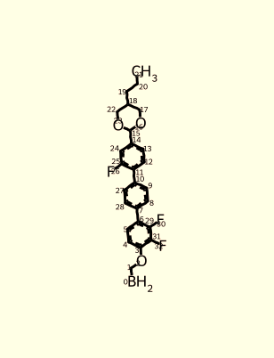 BCOc1ccc(-c2ccc(-c3ccc(C4OCC(CCC)CO4)cc3F)cc2)c(F)c1F